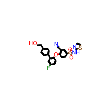 N#Cc1cc(S(=O)(=O)Nc2nccs2)ccc1Oc1ccc(F)cc1-c1ccc(CCO)cc1